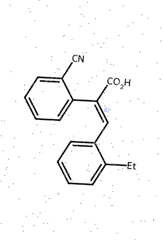 CCc1ccccc1/C=C(/C(=O)O)c1ccccc1C#N